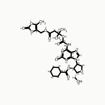 Cc1oc(=O)oc1COC(=O)CC(C)(C)OC(=O)Nc1nc(Cl)nc2c1ncn2C1CO[C@H](CO)[C@H]1OC(=O)C1CCCCC1